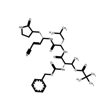 CC(C)C[C@H](NC(=O)[C@@H](NC(=O)OCc1ccccc1)C(C)OC(=O)C(C)(C)C)C(=O)N[C@H](/C=C/C#N)CC1CCNC1=O